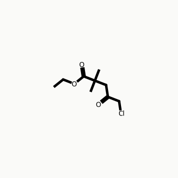 CCOC(=O)C(C)(C)CC(=O)CCl